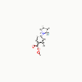 COOC(=O)c1ccc(N2CCC[C@@H]2F)cc1C